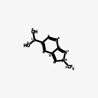 OB(O)c1cnc2nn(C(F)(F)F)cc2c1